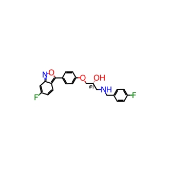 O[C@H](CNCc1ccc(F)cc1)COc1ccc(-c2onc3cc(F)ccc23)cc1